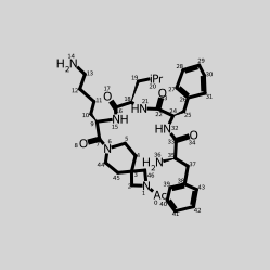 CC(=O)N1CC2(CCN(C(=O)[C@@H](CCCCN)NC(=O)[C@@H](CC(C)C)NC(=O)[C@@H](Cc3ccccc3)NC(=O)[C@H](N)Cc3ccccc3)CC2)C1